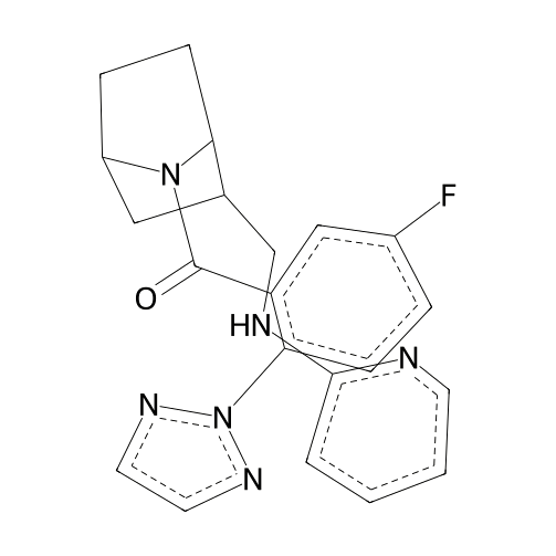 O=C(c1cc(F)ccc1-n1nccn1)N1C2CCC1C(CNc1ccccn1)C2